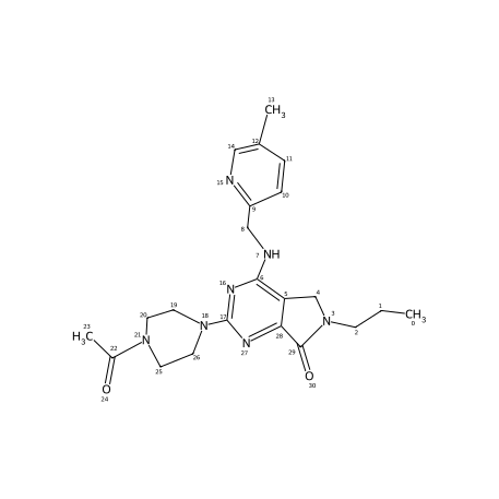 CCCN1Cc2c(NCc3ccc(C)cn3)nc(N3CCN(C(C)=O)CC3)nc2C1=O